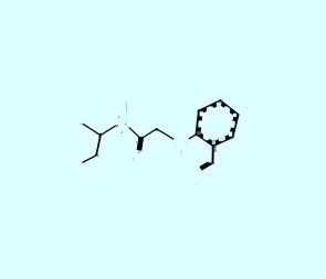 CCC(C)NC(=O)COc1ccccc1C=O